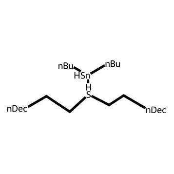 CCCCCCCCCCCC[SH](CCCCCCCCCCCC)[SnH]([CH2]CCC)[CH2]CCC